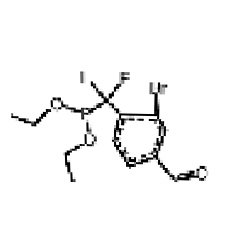 CCOP(OCC)C(F)(F)c1ccc(C=O)cc1Br